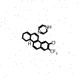 C1=CNCC=N1.FC(F)(F)c1cc2ccc3c(c2cc1Cl)C=CC1=CCCC[C@@H]13